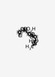 Cc1cnc(NC(=O)c2cccc(S(=O)(=O)c3ccc(CCN(C[C@@H](O)c4cccc(Cl)c4)C(=O)O)cc3)c2)s1